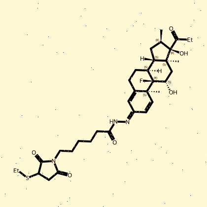 CCSC1CC(=O)N(CCCCCC(=O)NN=C2C=C[C@@]3(C)C(=C2)CC[C@H]2[C@@H]4C[C@@H](C)[C@](O)(C(=O)CC)[C@@]4(C)C[C@H](O)[C@@]23F)C1=O